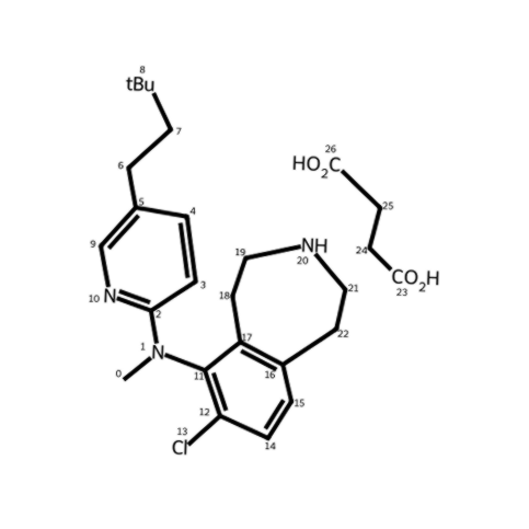 CN(c1ccc(CCC(C)(C)C)cn1)c1c(Cl)ccc2c1CCNCC2.O=C(O)CCC(=O)O